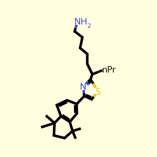 CCCC(CCCCCN)c1nc(-c2ccc3c(c2)C(C)(C)CCC3(C)C)cs1